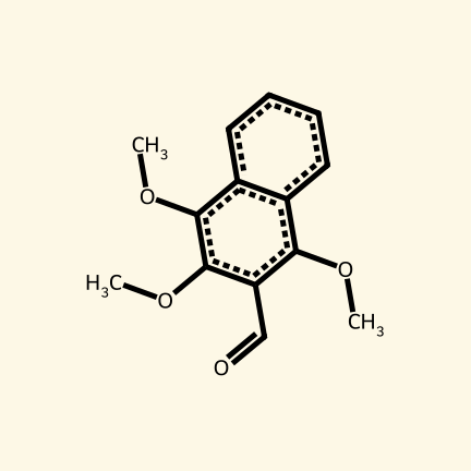 COc1c(C=O)c(OC)c2ccccc2c1OC